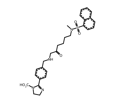 CN(CCCCC(=O)CNCc1ccc(C2=NCCN2C(=O)O)cc1)S(=O)(=O)c1cccc2ccccc12